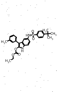 CCOC(=O)Oc1[nH]c2ccc(NS(=O)(=O)c3ccc(C(C)(C)C)cc3)cc2c1-c1cccc(C)c1